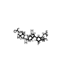 CC(=O)N1C[C@H]2C[C@@H](Nc3ncc4c(-c5cc(F)c6nc(C)n(CC(F)F)c6c5)c[nH]c4n3)C[C@H]2C1